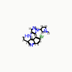 CCc1cnc2ccc(Br)cc2c1Nc1cnn(C2CCN(C)C2)c1